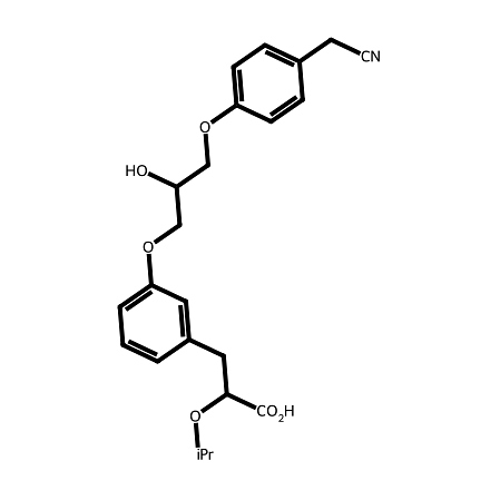 CC(C)OC(Cc1cccc(OCC(O)COc2ccc(CC#N)cc2)c1)C(=O)O